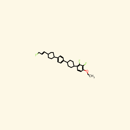 CCOc1ccc(C2CCC(c3ccc(C4CCC(/C=C/CF)CC4)cc3)CC2)c(F)c1F